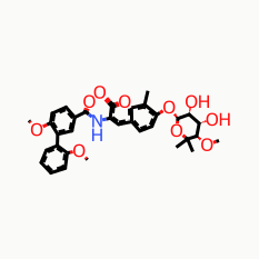 COc1ccccc1-c1cc(C(=O)Nc2cc3ccc(O[C@@H]4OC(C)(C)[C@H](OC)[C@@H](O)[C@H]4O)c(C)c3oc2=O)ccc1OC